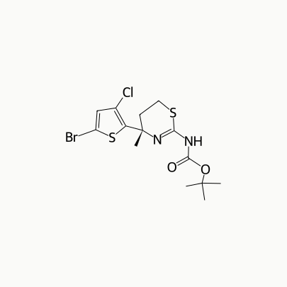 CC(C)(C)OC(=O)NC1=N[C@](C)(c2sc(Br)cc2Cl)CCS1